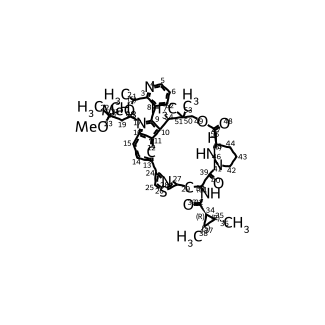 CO[C@@H](C)c1ncccc1-c1c2c3cc(ccc3n1CCC(C)(C)OC)-c1csc(n1)C[C@H](NC(=O)[C@H]1[C@H](C)[C@@H]1C)C(=O)N1CCC[C@H](N1)C(=O)OCC(C)(C)C2